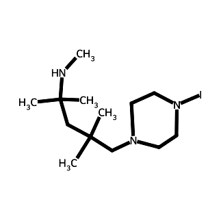 CNC(C)(C)CC(C)(C)CN1CCN(I)CC1